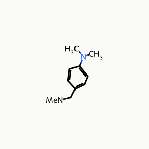 [CH2]NCc1ccc(N(C)C)cc1